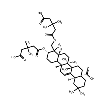 CC(C)(CC(=O)O)CC(=O)OCC1(C)[C@@H](OC(=O)CC(C)(C)CC(=O)O)CC[C@]2(C)[C@H]3CC=C4[C@@H]5CC(C)(C)CC[C@]5(C(=O)O)CC[C@@]4(C)[C@]3(C)CC[C@@H]12